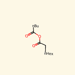 [CH2]CCCC(=O)OC(=O)CCCCCCC